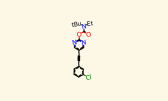 CCN(C(=O)Oc1ncc(C#Cc2cccc(Cl)c2)cn1)C(C)(C)C